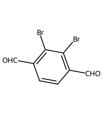 O=Cc1ccc(C=O)c(Br)c1Br